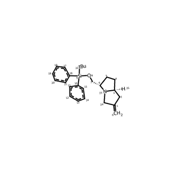 C=C1C[C@@H]2CC[C@@H](CO[Si](c3ccccc3)(c3ccccc3)C(C)(C)C)N2C1